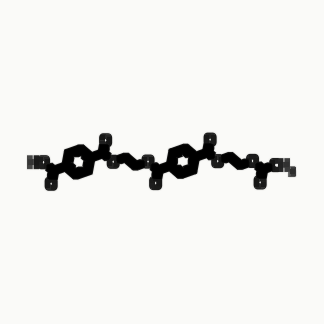 CC(=O)OCCOC(=O)c1ccc(C(=O)OCCOC(=O)c2ccc(C(=O)O)cc2)cc1